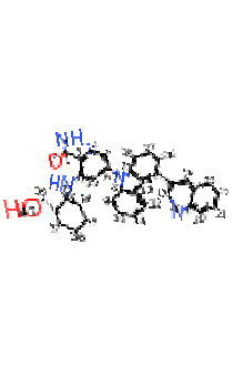 NC(=O)c1ccc(-n2c3ccccc3c3c(-c4cnc5ccccc5c4)cccc32)cc1N[C@H]1CCCC[C@@H]1CO